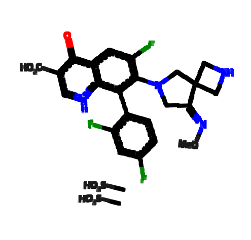 CON=C1CN(c2c(F)cc3c(=O)c(C(=O)O)c[nH]c3c2-c2ccc(F)cc2F)CC12CNC2.CS(=O)(=O)O.CS(=O)(=O)O